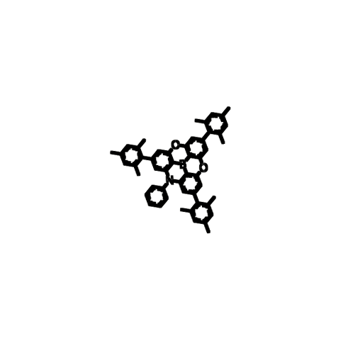 Cc1cc(C)c(-c2cc3c4c(c2)Oc2cc(-c5c(C)cc(C)cc5C)cc5c2B4c2c(cc(-c4c(C)cc(C)cc4C)cc2N5c2ccccc2)O3)c(C)c1